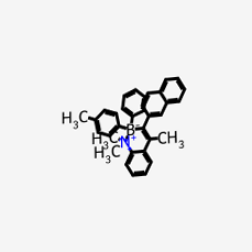 CC1=C(c2ccc3ccccc3c2)[B-](c2ccccc2)(c2ccc(C)cc2)[N+](C)(C)c2ccccc21